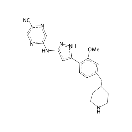 COc1cc(CC2CCNCC2)ccc1-c1cc(Nc2cnc(C#N)cn2)n[nH]1